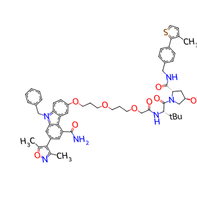 Cc1ccsc1-c1ccc(CNC(=O)[C@@H]2C[C@@H](O)CN2C(=O)[C@@H](NC(=O)COCCCOCCCOc2ccc3c(c2)c2c(C(N)=O)cc(-c4c(C)noc4C)cc2n3Cc2ccccc2)C(C)(C)C)cc1